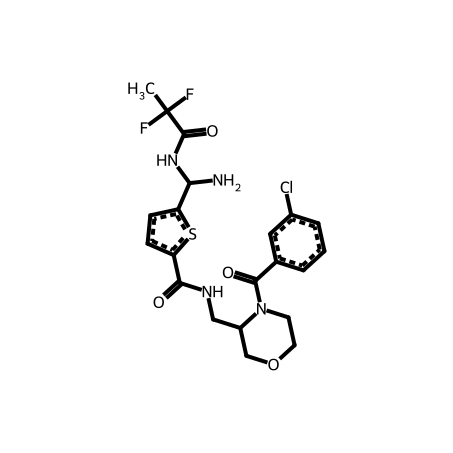 CC(F)(F)C(=O)NC(N)c1ccc(C(=O)NCC2COCCN2C(=O)c2cccc(Cl)c2)s1